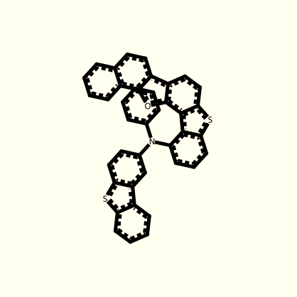 c1ccc(N(c2ccc3sc4ccccc4c3c2)c2cccc3sc4ccc5c6ccc7ccccc7c6oc5c4c23)cc1